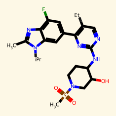 CCc1cnc(NC2CCN(S(C)(=O)=O)CC2O)nc1-c1cc(F)c2nc(C)n(C(C)C)c2c1